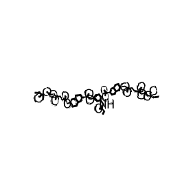 C=CC(=O)Nc1cc(OC(=O)c2ccc3cc(OC(=O)CCC(=O)OCOC(=O)C=C)ccc3c2)ccc1OC(=O)c1ccc2cc(OC(=O)CCC(=O)OCOC(=O)C=C)ccc2c1